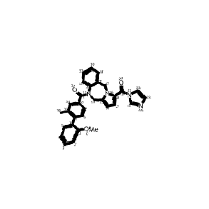 COc1ccccc1-c1ccc(C(=O)N2Cc3ccc(C(=O)n4ccnc4)n3Cc3ccccc32)cc1C